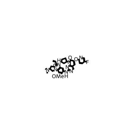 C=CC(=O)Nc1cc(Nc2ncc3cc(Oc4ccc(F)cn4)c(=O)n(C4CCCC4)c3n2)c(OC)cc1N1CCC(N(C)C)C1